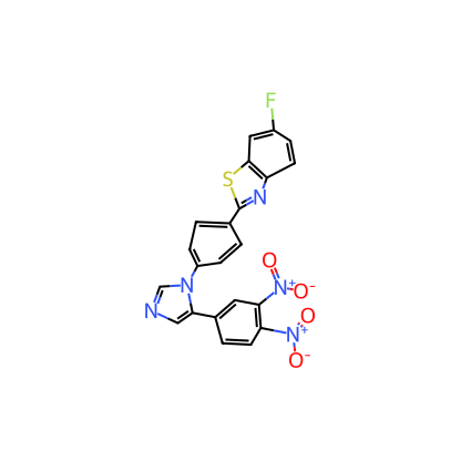 O=[N+]([O-])c1ccc(-c2cncn2-c2ccc(-c3nc4ccc(F)cc4s3)cc2)cc1[N+](=O)[O-]